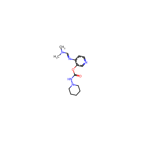 CN(C)C=Nc1ccncc1OC(=O)NN1CCCCC1